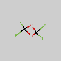 FC1(F)OC(F)(F)O1